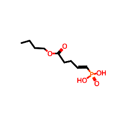 CCCCOC(=O)CCC=CP(=O)(O)O